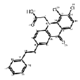 O=C(O)Cn1c2ccc(CCc3ccccc3)cc2c(=O)c2ccc(Cl)c(Cl)c21